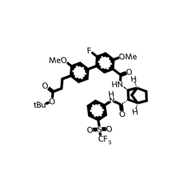 COc1cc(-c2cc(C(=O)N[C@@H]3[C@H]4CC[C@H](C4)[C@@H]3C(=O)Nc3cccc(S(=O)(=O)C(F)(F)F)c3)c(OC)cc2F)ccc1CCC(=O)OC(C)(C)C